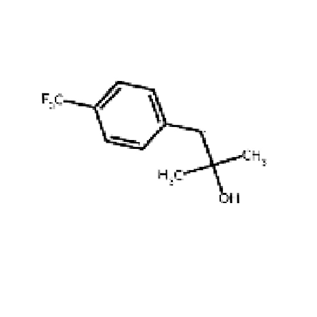 CC(C)(O)[CH]c1ccc(C(F)(F)F)cc1